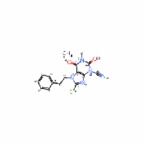 C.Cn1c(=O)c2c(nc(Cl)n2CCc2ccccc2)n(C#N)c1=O